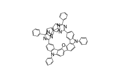 c1ccc(-c2nc(-c3ccccc3)nc(-c3ccc4c(c3)c3c5oc6c(ccc7c6c6cc(-c8nc(-c9ccccc9)nc(-c9ccccc9)n8)ccc6n7-c6ccccc6)c5ccc3n4-c3ccccc3)n2)cc1